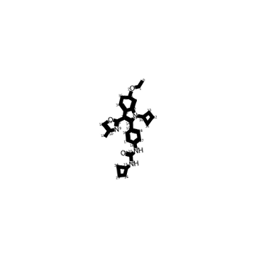 CCOC1C=c2c(c(-c3nc(C)co3)c(-c3ccc(NC(=O)NC4CCC4)cc3)n2C2CCC2)=CC1